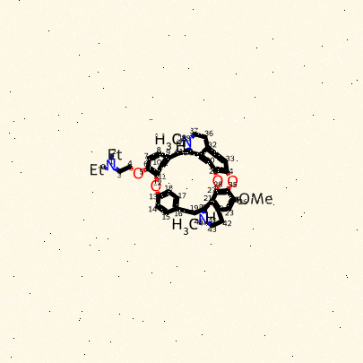 CCN(CC)CCOc1ccc2cc1Oc1ccc(cc1)C[C@H]1c3c(cc(OC)c4c3Oc3cc5c(cc3O4)CCN(C)[C@H]5C2)CCN1C